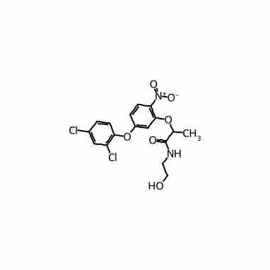 CC(Oc1cc(Oc2ccc(Cl)cc2Cl)ccc1[N+](=O)[O-])C(=O)NCCO